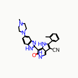 Cc1ccccc1-c1[nH]c2c(-c3nc4cc(N5CCN(C)CC5)ccc4[nH]3)c(=O)[nH]cc2c1C#N